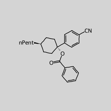 CCCCC[C@H]1CC[C@@](OC(=O)c2ccccc2)(c2ccc(C#N)cc2)CC1